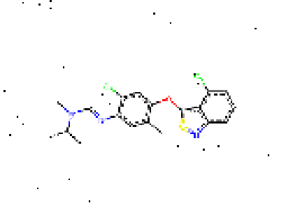 Cc1cc(N=CN(C)C(C)C)c(Cl)cc1Oc1snc2cccc(Cl)c12